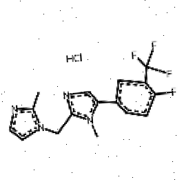 Cc1nccn1Cc1ncc(-c2ccc(F)c(C(F)(F)F)c2)n1C.Cl